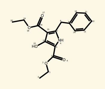 CCOC(=O)c1[nH]c(Cc2ccccc2)c(C(=O)OCC)c1O